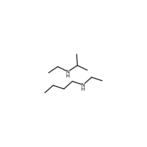 CCCCNCC.CCNC(C)C